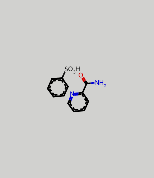 NC(=O)c1ccccn1.O=S(=O)(O)c1ccccc1